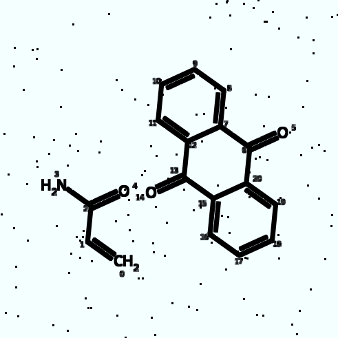 C=CC(N)=O.O=C1c2ccccc2C(=O)c2ccccc21